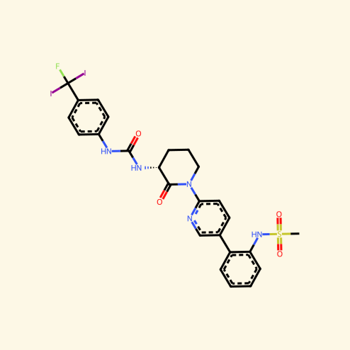 CS(=O)(=O)Nc1ccccc1-c1ccc(N2CCC[C@@H](NC(=O)Nc3ccc(C(F)(I)I)cc3)C2=O)nc1